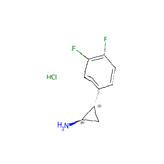 Cl.N[C@@H]1C[C@H]1c1ccc(F)c(F)c1